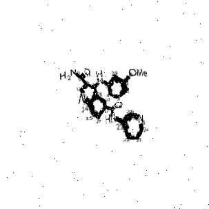 COc1cccc(Nc2c(C(N)=O)cnc3ccc(C(=O)Nc4cccnc4)cc23)c1